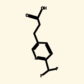 O=C(O)CCc1ccc(C(F)F)nc1